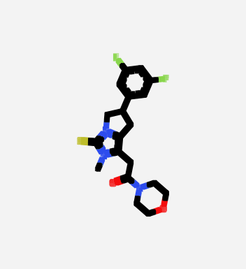 Cn1c(CC(=O)N2CCOCC2)c2n(c1=S)CC(c1cc(F)cc(F)c1)C2